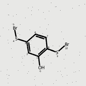 Oc1cc(SBr)ccc1SBr